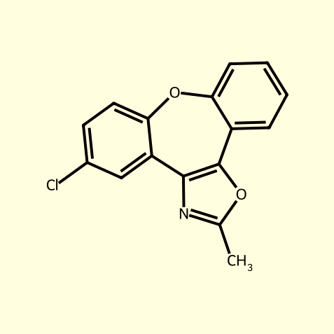 Cc1nc2c(o1)-c1ccccc1Oc1ccc(Cl)cc1-2